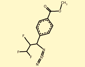 COC(=O)c1ccc(C(N=[N+]=[N-])C(F)C(F)F)cc1